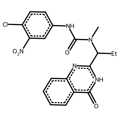 CCC(c1nc2ccccc2c(=O)[nH]1)N(C)C(=O)Nc1ccc(Cl)c([N+](=O)[O-])c1